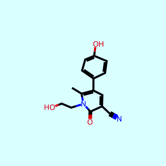 Cc1c(-c2ccc(O)cc2)cc(C#N)c(=O)n1CCO